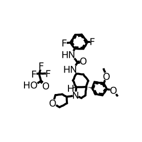 COc1ccc([C@@]23CC[C@@H](NC(=O)Nc4cc(F)ccc4F)C[C@@H]2N(C2CCOCC2)CC3)cc1OC.O=C(O)C(F)(F)F